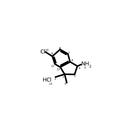 CC1(C)CC(N)c2ccc(Cl)cc21.Cl